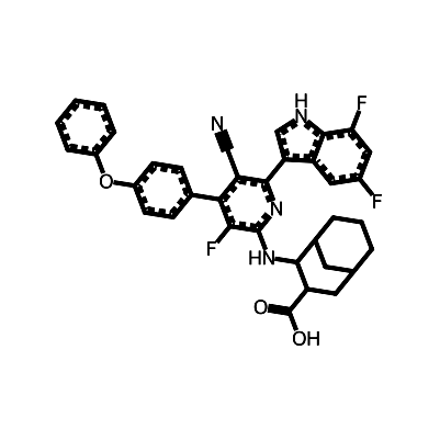 N#Cc1c(-c2c[nH]c3c(F)cc(F)cc23)nc(NC2C3CCCC(C3)CC2C(=O)O)c(F)c1-c1ccc(Oc2ccccc2)cc1